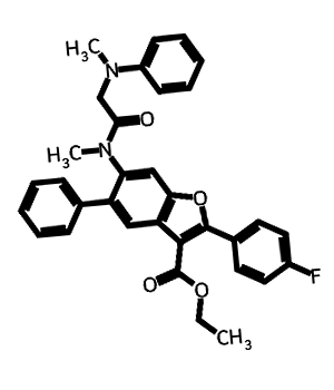 CCOC(=O)c1c(-c2ccc(F)cc2)oc2cc(N(C)C(=O)CN(C)c3ccccc3)c(-c3ccccc3)cc12